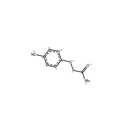 CC(C)(C)C(=O)COc1ccc(C#N)cn1